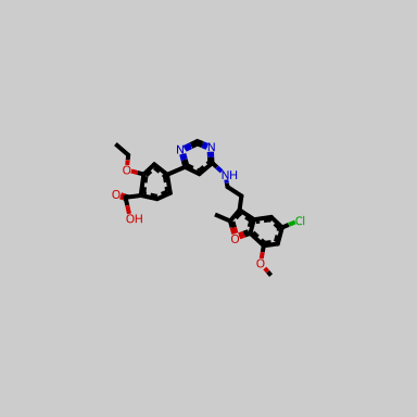 CCOc1cc(-c2cc(NCCc3c(C)oc4c(OC)cc(Cl)cc34)ncn2)ccc1C(=O)O